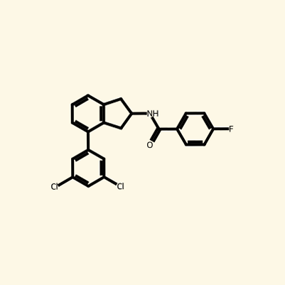 O=C(NC1Cc2cccc(-c3cc(Cl)cc(Cl)c3)c2C1)c1ccc(F)cc1